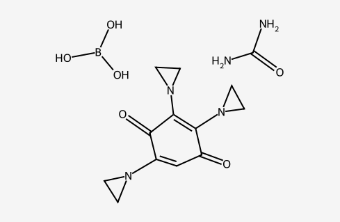 NC(N)=O.O=C1C=C(N2CC2)C(=O)C(N2CC2)=C1N1CC1.OB(O)O